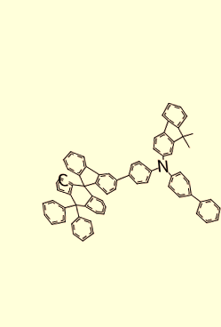 CC1(C)c2ccccc2-c2ccc(N(c3ccc(-c4ccccc4)cc3)c3ccc(-c4ccc5c(c4)-c4ccccc4C54c5ccccc5C(c5ccccc5)(c5ccccc5)c5ccccc54)cc3)cc21